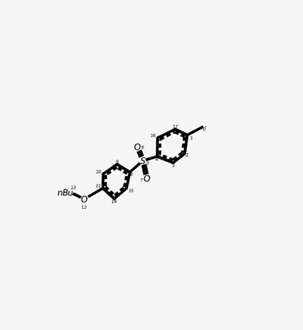 [CH2]c1ccc(S(=O)(=O)c2ccc(OCCCC)cc2)cc1